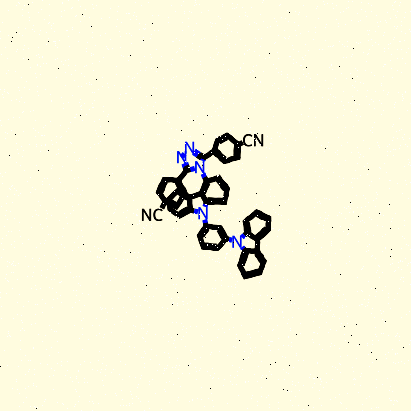 N#Cc1ccc(-c2nnc(-c3ccc(C#N)cc3)n2-c2cccc3c2c2ccccc2n3-c2cccc(-n3c4ccccc4c4ccccc43)c2)cc1